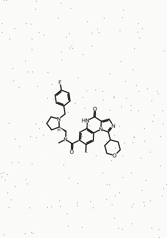 Cc1cc2c(cc1C(=O)N(C)C[C@H]1CCCN1Cc1ccc(F)cc1)[nH]c(=O)c1cnc(C3CCOCC3)n12